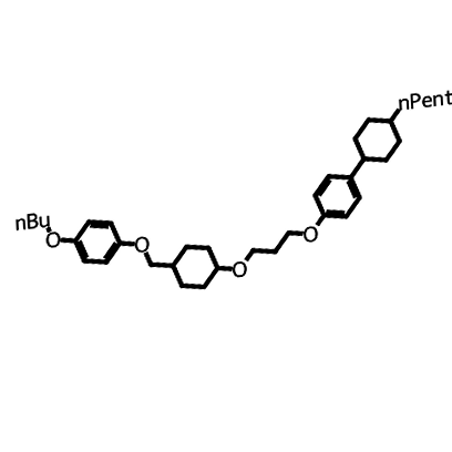 CCCCCC1CCC(c2ccc(OCCCOC3CCC(COc4ccc(OCCCC)cc4)CC3)cc2)CC1